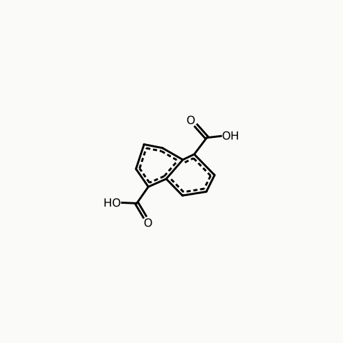 O=C(O)c1cccc2c(C(=O)O)cccc12